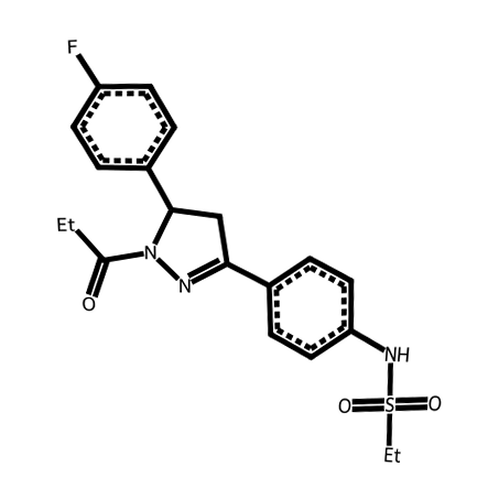 CCC(=O)N1N=C(c2ccc(NS(=O)(=O)CC)cc2)CC1c1ccc(F)cc1